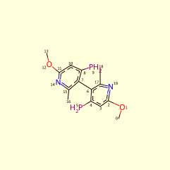 COc1cc(P)c(-c2c(P)cc(OC)nc2C)c(C)n1